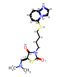 CN(C)/C=C1\SC(=O)N(CCCCSc2cccc3nccn23)C1=O